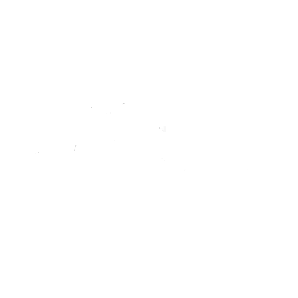 CC(C)(OCC1CCCCC1)C(=O)NC1C2CC3CC1CC(OC(=O)O)(C3)C2